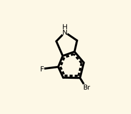 Fc1cc(Br)cc2c1CNC2